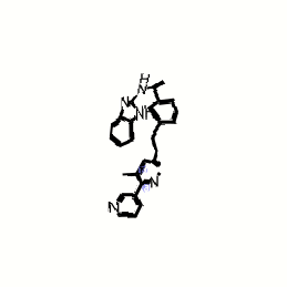 C=C(/C=C(C)\C(=N/C)c1cccnc1)CCc1cccc(C(=C)Nc2nc3ccccc3[nH]2)c1